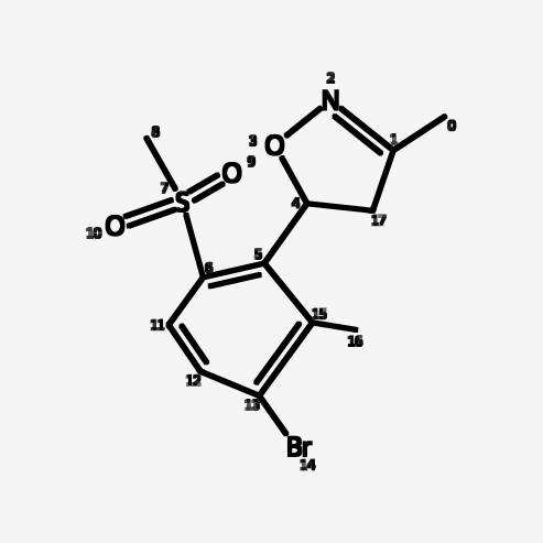 CC1=NOC(c2c(S(C)(=O)=O)ccc(Br)c2C)C1